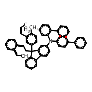 C/C=C\c1cc(C2(C/C=c3/cccc/c3=C/C)c3ccccc3-c3ccc(N(c4ccc(-c5ccccc5)cc4)c4ccccc4-c4ccccc4)cc32)ccc1C